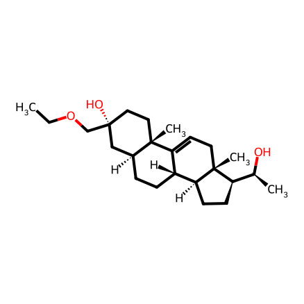 CCOC[C@@]1(O)CC[C@]2(C)C3=CC[C@]4(C)[C@@H]([C@H](C)O)CC[C@H]4[C@@H]3CC[C@H]2C1